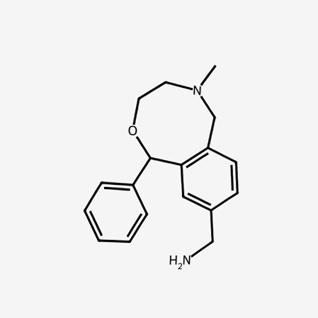 CN1CCOC(c2ccccc2)c2cc(CN)ccc2C1